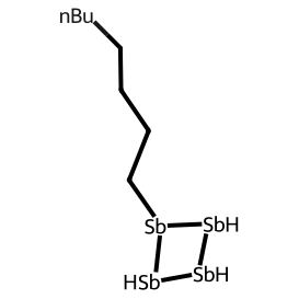 CCCCCCC[CH2][Sb]1[SbH][SbH][SbH]1